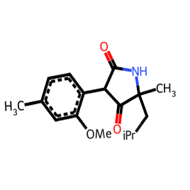 COc1cc(C)ccc1C1C(=O)NC(C)(CC(C)C)C1=O